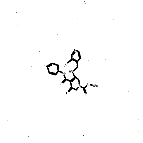 CC(C)(C)OC(=O)N1CC(=O)C(C(=S)Nc2ccccc2)=C(NCc2ccncc2C(F)(F)F)C1